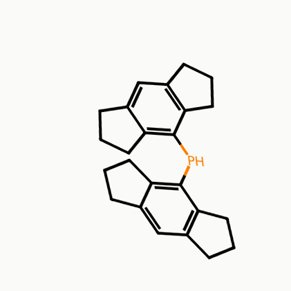 c1c2c(c(Pc3c4c(cc5c3CCC5)CCC4)c3c1CCC3)CCC2